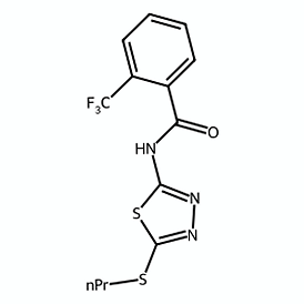 CCCSc1nnc(NC(=O)c2ccccc2C(F)(F)F)s1